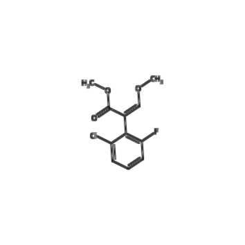 CO/C=C(\C(=O)OC)c1c(F)cccc1Cl